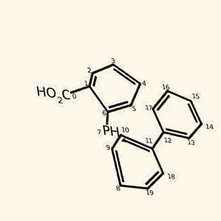 O=C(O)c1ccccc1P.c1ccc(-c2ccccc2)cc1